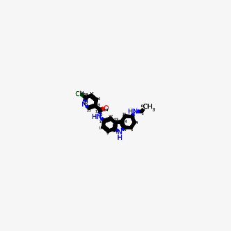 CCNC1CCc2[nH]c3ccc(NC(=O)c4ccc(Cl)nc4)cc3c2C1